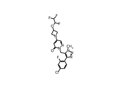 Cn1nnc(-c2ccc(Cl)cc2F)c1Cn1ncc(N2CC(OC(F)C(F)F)C2)cc1=O